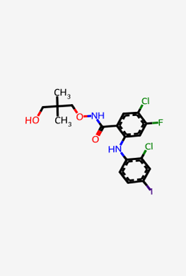 CC(C)(CO)CONC(=O)c1cc(Cl)c(F)cc1Nc1ccc(I)cc1Cl